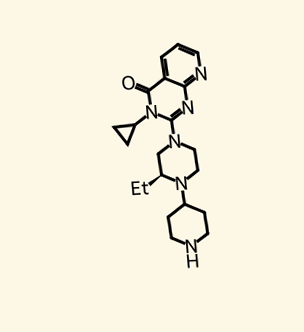 CC[C@H]1CN(c2nc3ncccc3c(=O)n2C2CC2)CCN1C1CCNCC1